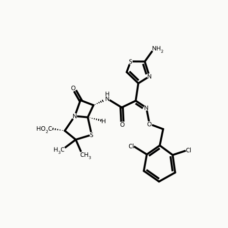 CC1(C)S[C@@H]2[C@@H](NC(=O)/C(=N\OCc3c(Cl)cccc3Cl)c3csc(N)n3)C(=O)N2[C@H]1C(=O)O